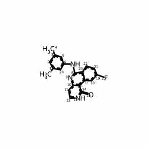 Cc1cc(C)cc(Nc2nc3cc[nH]c(=O)c3c3cc(F)ccc23)c1